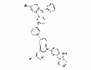 CC(C)(C)c1ccc2c(c1)c1cc(-c3cccc(-c4ccc5c(c4)c4cc(C(C)(C)C)ccc4n5-c4ccc5[nH]c6ccccc6c5c4)c3)ccc1n2-c1ccccc1